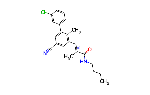 CCCCNC(=O)/C(C)=C/c1cc(C#N)cc(-c2cccc(Cl)c2)c1C